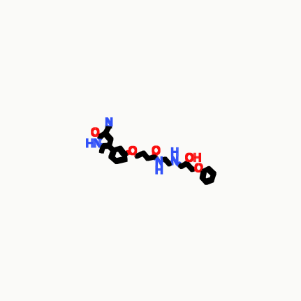 Cc1[nH]c(=O)c(C#N)cc1-c1cccc(OCCCC(=O)NCCNCC(O)COc2ccccc2)c1